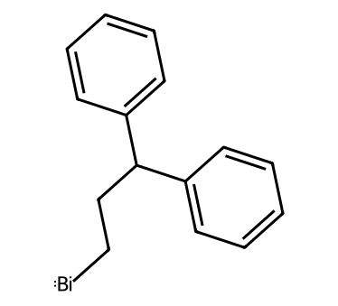 [Bi][CH2]CC(c1ccccc1)c1ccccc1